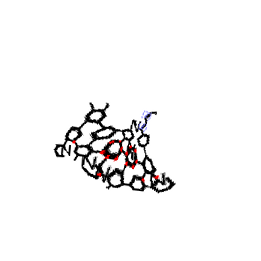 C=N/C(=C\C=C/C)c1ccc(-c2ccc(C)c(C)c2-c2cc(-c3cc(C)c(C)cc3-c3ccc(-c4ccccn4)cc3)cc(-c3cccc(-c4cc(-c5cc(C)c(C)cc5-c5ccc(-c6ccccn6)cc5)cc(-c5c(C)cc(C)cc5-c5ccc(-c6ccccn6)cc5)c4)c3-c3ccc(-c4ncccn4)cc3)c2)cc1